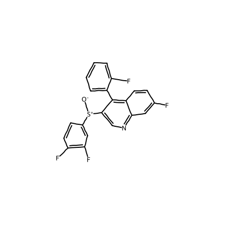 [O-][S+](c1ccc(F)c(F)c1)c1cnc2cc(F)ccc2c1-c1ccccc1F